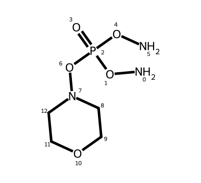 NOP(=O)(ON)ON1CCOCC1